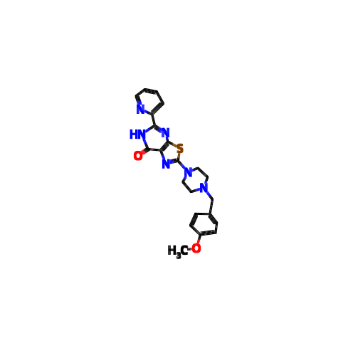 COc1ccc(CN2CCN(c3nc4c(=O)[nH]c(-c5ccccn5)nc4s3)CC2)cc1